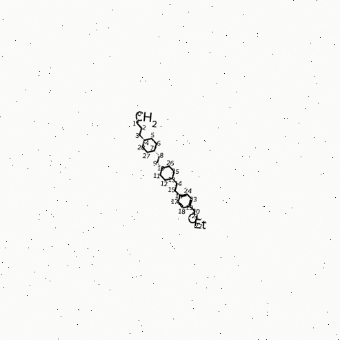 C=CCC[C@H]1CC[C@H](CC[C@H]2CC[C@H](CCc3ccc(COCC)cc3)CC2)CC1